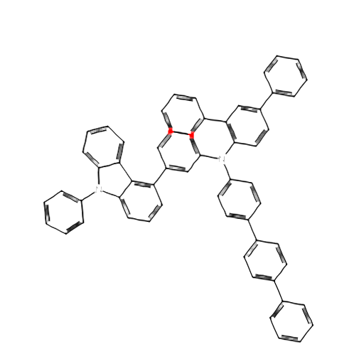 c1ccc(-c2ccc(-c3ccc(N(c4cccc(-c5cccc6c5c5ccccc5n6-c5ccccc5)c4)c4ccc(-c5ccccc5)cc4-c4ccccc4)cc3)cc2)cc1